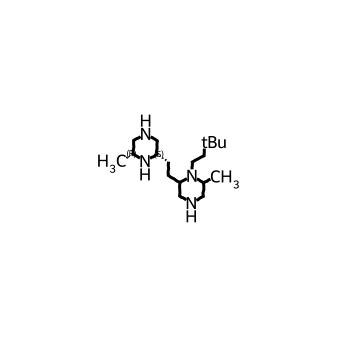 CC1CNCC(CC[C@H]2CNC[C@@H](C)N2)N1CCC(C)(C)C